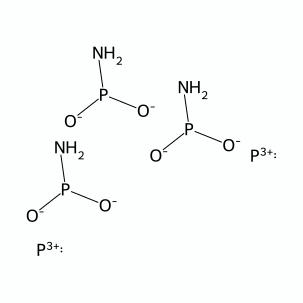 NP([O-])[O-].NP([O-])[O-].NP([O-])[O-].[P+3].[P+3]